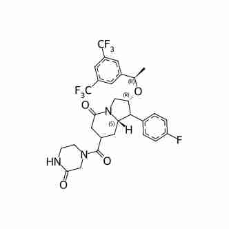 C[C@@H](O[C@H]1CN2C(=O)CC(C(=O)N3CCNC(=O)C3)C[C@H]2C1c1ccc(F)cc1)c1cc(C(F)(F)F)cc(C(F)(F)F)c1